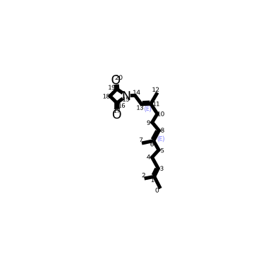 CC(C)=CCC/C(C)=C/CC/C(C)=C/CN1C(=O)CC1=O